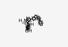 Nc1ncc(-c2ccc3c(c2)CC[C@]32CCN(C3CCOCC3)C2)cc1C(=O)NC12CCC(O)(CC1)CC2